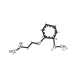 CNCCOc1c[c]ccc1OC